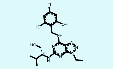 CCn1nnc2c(NCc3c(O)cc(Cl)cc3O)nc(N[C@@H](CO)C(C)C)nc21